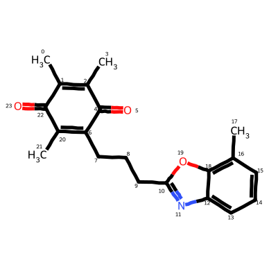 CC1=C(C)C(=O)C(CCCc2nc3cccc(C)c3o2)=C(C)C1=O